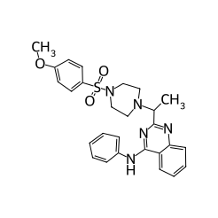 COc1ccc(S(=O)(=O)N2CCN(C(C)c3nc(Nc4ccccc4)c4ccccc4n3)CC2)cc1